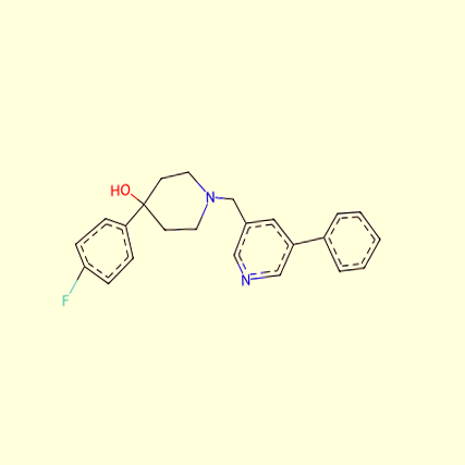 OC1(c2ccc(F)cc2)CCN(Cc2cncc(-c3ccccc3)c2)CC1